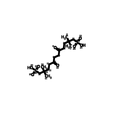 CC(C)(CCC(=O)CCC(=O)CCC(C)(C)CS(=O)(=O)O)CS(=O)(=O)O